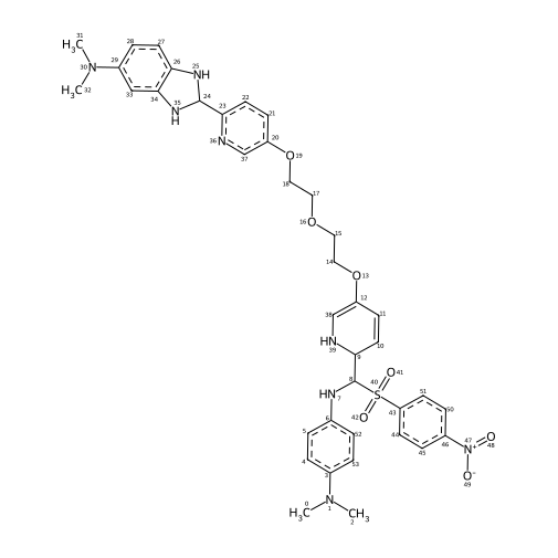 CN(C)c1ccc(NC(C2C=CC(OCCOCCOc3ccc(C4Nc5ccc(N(C)C)cc5N4)nc3)=CN2)S(=O)(=O)c2ccc([N+](=O)[O-])cc2)cc1